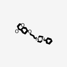 O=c1ccoc2cc(OCCCN3CCN(c4ccccc4)CC3)ccc12